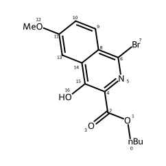 CCCCOC(=O)c1nc(Br)c2ccc(OC)cc2c1O